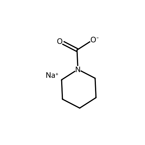 O=C([O-])N1CCCCC1.[Na+]